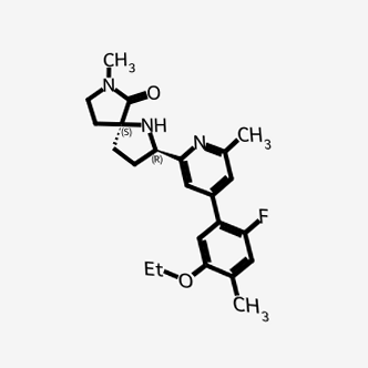 CCOc1cc(-c2cc(C)nc([C@H]3CC[C@@]4(CCN(C)C4=O)N3)c2)c(F)cc1C